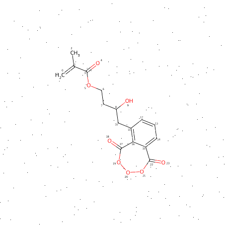 C=C(C)C(=O)OCCC(O)Cc1cccc2c1C(=O)OOOC2=O